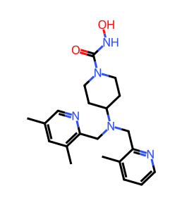 Cc1cnc(CN(Cc2ncccc2C)C2CCN(C(=O)NO)CC2)c(C)c1